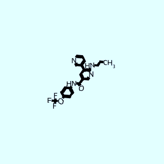 CCCNc1ncc(C(=O)Nc2ccc(OC(F)(F)F)cc2)cc1-c1cccnc1